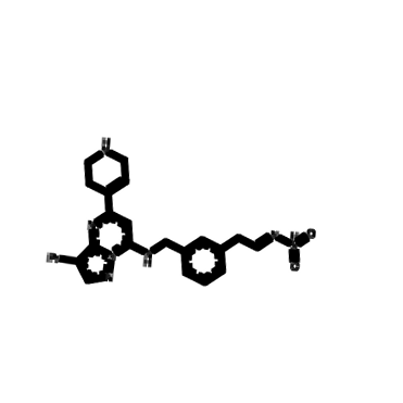 CC(C)c1cnn2c(NCc3cccc(CC=N[SH](=O)=O)c3)cc(C3=CCNCC3)nc12